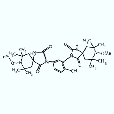 CCCON1C(C)(C)CC2(CC1(C)C)NC(=O)N(c1ccc(C)c(N3C(=O)NC4(CC(C)(C)N(OC)C(C)(C)C4)C3=O)c1)C2=O